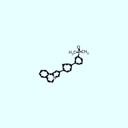 CP(C)(=O)c1cccc(-c2ccc(-c3cc4c5ccccc5ccn4c3)cc2)c1